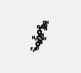 Cn1c(Nc2nc3ccc(OC(F)(F)F)cc3s2)nc2cc(C(=O)NCC(O)O)ccc21